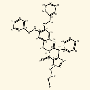 CCOCn1cnc2c1c(=O)n(Cc1ccc(OCc3ccccc3)c(OCc3ccccc3)c1)c(=O)n2-c1ccccc1